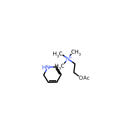 C1=CCNC=C1.CC(=O)OCC[N+](C)(C)C